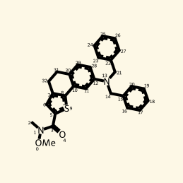 CON(C)C(=O)c1cc2c(s1)-c1cc(N(Cc3ccccc3)Cc3ccccc3)ccc1CC2